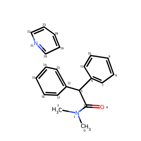 CN(C)C(=O)C(c1ccccc1)c1ccccc1.c1ccncc1